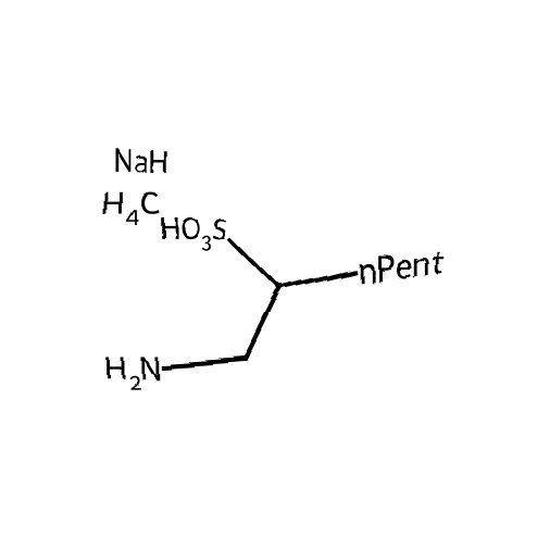 C.CCCCCC(CN)S(=O)(=O)O.[NaH]